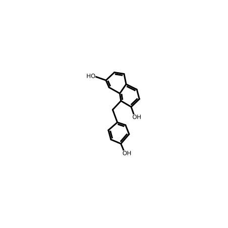 Oc1ccc(Cc2c(O)ccc3ccc(O)cc23)cc1